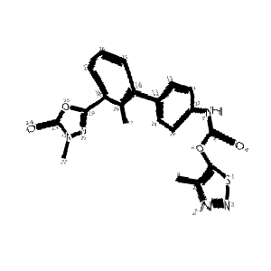 Cc1nnsc1OC(=O)Nc1ccc(-c2cccc(-c3nn(C)c(=O)o3)c2C)cc1